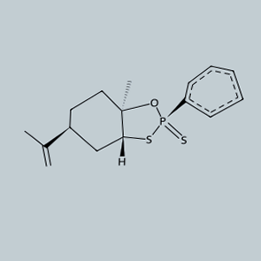 C=C(C)[C@H]1CC[C@@]2(C)O[P@@](=S)(c3ccccc3)S[C@@H]2C1